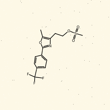 Cc1oc(-c2ccc(C(F)(F)F)cc2)nc1CCOS(C)(=O)=O